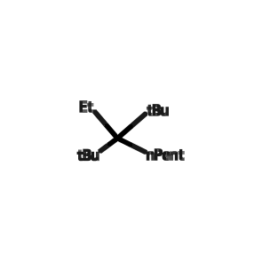 C[CH]CCCC(CC)(C(C)(C)C)C(C)(C)C